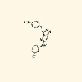 Oc1ccc(CCc2nnc3sc(Nc4cccc(Cl)c4)nn23)cc1